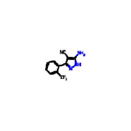 N#Cc1c(-c2ccccc2C(F)(F)F)n[nH]c1N